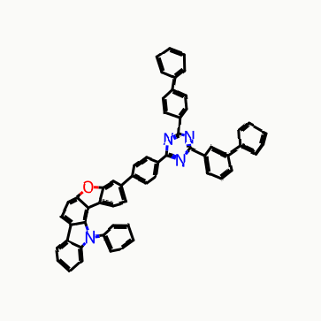 c1ccc(-c2ccc(-c3nc(-c4ccc(-c5ccc6c(c5)oc5ccc7c8ccccc8n(-c8ccccc8)c7c56)cc4)nc(-c4cccc(-c5ccccc5)c4)n3)cc2)cc1